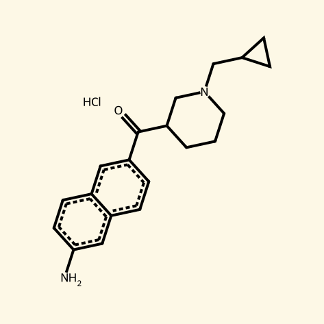 Cl.Nc1ccc2cc(C(=O)C3CCCN(CC4CC4)C3)ccc2c1